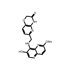 COc1ccc2ncc(O)c(NCc3ccc4c(n3)NC(=O)CO4)c2n1